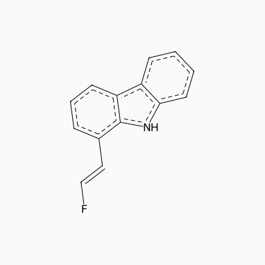 FC=Cc1cccc2c1[nH]c1ccccc12